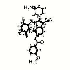 COc1cccc(C(=O)Cn2cnc3c(C#N)c(N4CCCC(N)C4)n(Cc4cc(F)c(F)cc4F)c3c2=O)c1